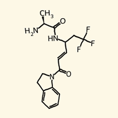 C[C@H](N)C(=O)NC(/C=C/C(=O)N1CCc2ccccc21)CC(F)(F)F